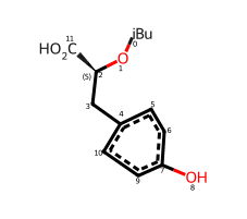 CCC(C)O[C@@H](Cc1ccc(O)cc1)C(=O)O